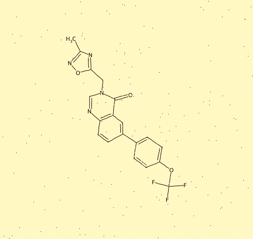 Cc1noc(Cn2cnc3ccc(-c4ccc(OC(F)(F)F)cc4)cc3c2=O)n1